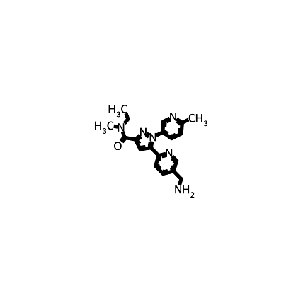 CCN(C)C(=O)c1cc(-c2ccc(CN)cn2)n(-c2ccc(C)nc2)n1